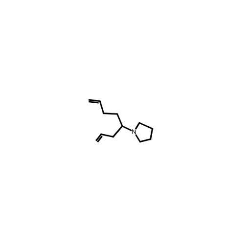 C=CCCC(CC=C)N1CCCC1